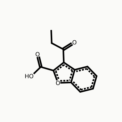 CCC(=O)c1c(C(=O)O)oc2ccccc12